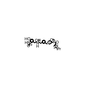 CC(C)c1nc(C(=O)N2CCOC3(CCN(Cc4cccc(CC(F)NC(O)Cc5ccc(O)c6[nH]c(=O)sc56)c4)CC3)C2)cs1